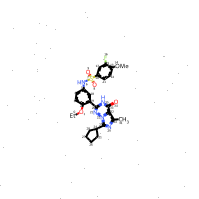 CCOc1ccc(NS(=O)(=O)c2ccc(OC)c(F)c2)cc1-c1nn2c(C3CCCC3)nc(C)c2c(=O)[nH]1